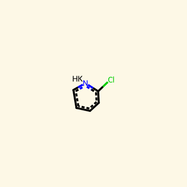 Clc1ccccn1.[KH]